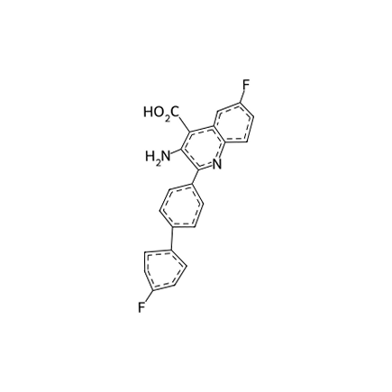 Nc1c(-c2ccc(-c3ccc(F)cc3)cc2)nc2ccc(F)cc2c1C(=O)O